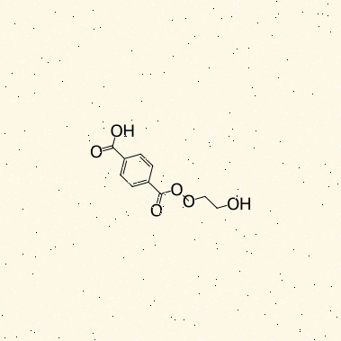 O=C(O)c1ccc(C(=O)OOCCO)cc1